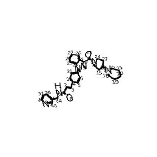 O=C(/C=C/c1ccc(-n2nc(C(=O)N3CCC(N4CCCCC4)CC3)c3ccccc32)cc1)NCc1cccnc1